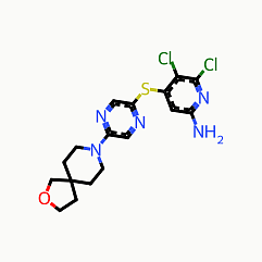 Nc1cc(Sc2cnc(N3CCC4(CCOC4)CC3)cn2)c(Cl)c(Cl)n1